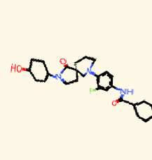 O=C(Nc1ccc(N2CCC[C@@]3(CCN(C4CCC(O)CC4)C3=O)C2)c(F)c1)C1CCCCC1